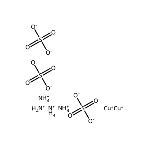 O=S(=O)([O-])[O-].O=S(=O)([O-])[O-].O=S(=O)([O-])[O-].[Cu+].[Cu+].[NH4+].[NH4+].[NH4+].[NH4+]